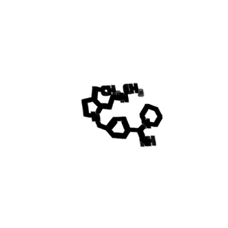 C/C=c1/ccn(Cc2ccc(C(=N)N3CCCCC3)cc2)/c1=C/C=N/C